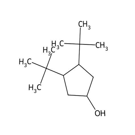 CC(C)(C)C1CC(O)CC1C(C)(C)C